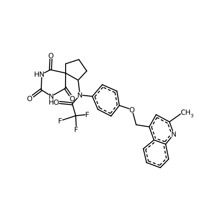 Cc1cc(COc2ccc(N(C(=O)C(F)(F)F)C3CCCC34C(=O)NC(=O)NC4=O)cc2)c2ccccc2n1